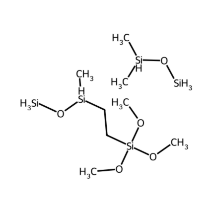 CO[Si](CC[SiH](C)O[SiH3])(OC)OC.C[SiH](C)O[SiH3]